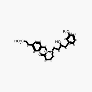 O=C(O)CCc1ccc(CN2C(=O)CCCN2CCC(O)Cc2cccc(C(F)(F)F)c2)cc1